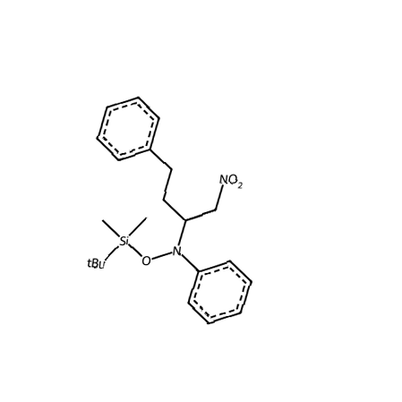 CC(C)(C)[Si](C)(C)ON(c1ccccc1)C(CCc1ccccc1)C[N+](=O)[O-]